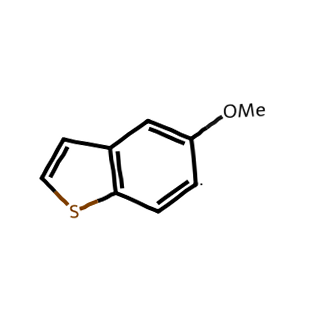 COc1[c]cc2sccc2c1